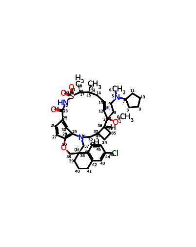 CO[C@@]1(CCN(C)C2CCCC2)/C=C/C[C@H](C)[C@@H](C)S(=O)(=O)NC(=O)c2ccc3c(c2)N(C[C@@H]2CC[C@H]21)C[C@@]1(CCCc2cc(Cl)ccc21)CO3